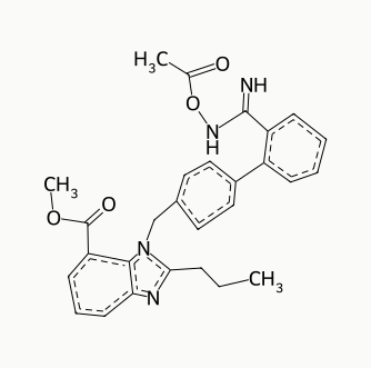 CCCc1nc2cccc(C(=O)OC)c2n1Cc1ccc(-c2ccccc2C(=N)NOC(C)=O)cc1